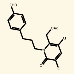 CC(=O)OCc1c(Cl)cc(Cl)c(=O)n1CCCc1ccc(C=O)cc1